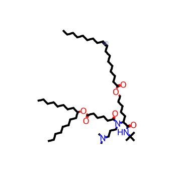 CCCCCCCC/C=C\CCCCCCCC(=O)OCCCCCC(C(=O)NC(C)(C)C)N(CCCN(C)C)C(=O)CCCCC(=O)OC(CCCCCCCC)CCCCCCCC